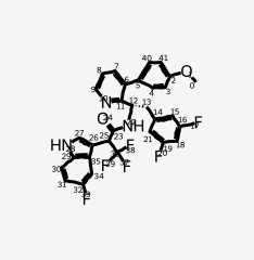 COc1ccc(-c2cccnc2[C@H](Cc2cc(F)cc(F)c2)NC(=O)C(c2c[nH]c3ccc(F)cc23)C(F)(F)F)cc1